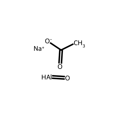 CC(=O)[O-].[Na+].[O]=[AlH]